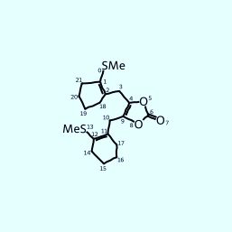 CSC1=C(Cc2oc(=O)oc2CC2=C(SC)CCCC2)CCCC1